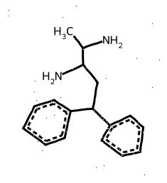 CC(N)C(N)CC(c1ccccc1)c1ccccc1